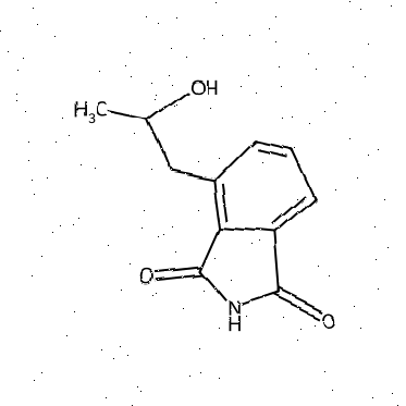 CC(O)Cc1cccc2c1C(=O)NC2=O